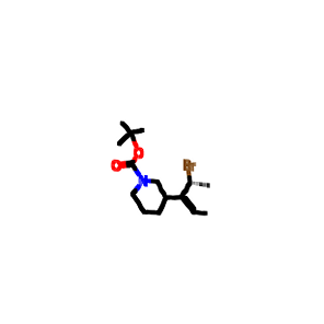 C/C=C(/C1CCCN(C(=O)OC(C)(C)C)C1)[C@@H](C)Br